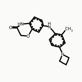 Cc1cc(N2CCC2)ccc1Nc1ccc2c(c1)OCC(=O)N2